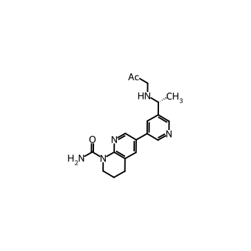 CC(=O)CN[C@H](C)c1cncc(-c2cnc3c(c2)CCCN3C(N)=O)c1